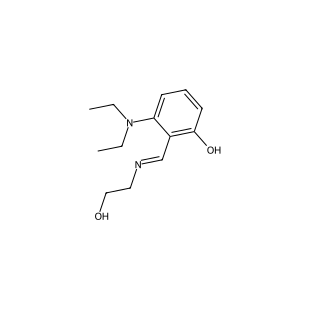 CCN(CC)c1cccc(O)c1C=NCCO